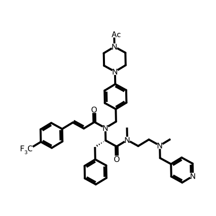 CC(=O)N1CCN(c2ccc(CN(C(=O)/C=C/c3ccc(C(F)(F)F)cc3)[C@@H](Cc3ccccc3)C(=O)N(C)CCN(C)Cc3ccncc3)cc2)CC1